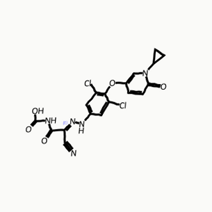 N#C/C(=N\Nc1cc(Cl)c(Oc2ccc(=O)n(C3CC3)c2)c(Cl)c1)C(=O)NC(=O)O